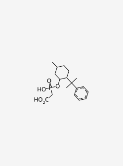 CC1CCC(C(C)(C)c2ccccc2)C(OP(=O)(O)CC(=O)O)C1